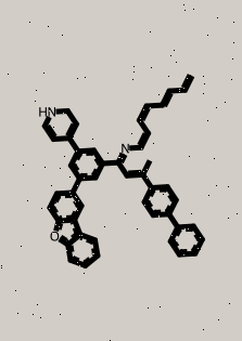 C=C/C=C/C=C\C=C/N=C(\C=C(/C)c1ccc(-c2ccccc2)cc1)c1cc(C2=CCNC=C2)cc(-c2ccc3oc4ccccc4c3c2)c1